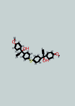 C#CC(O)(c1ccc(OC)cc1)c1ccc(Sc2ccc(C(O)(C#C)c3ccc(OC)cc3)cc2)cc1